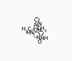 Cc1nc2ccccc2n1CC[C@@H](C)N[C@@H]1CCn2c(=O)[nH]c3cccc(c32)[C@H]1O